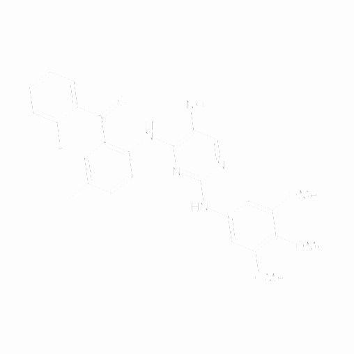 COc1cc(Nc2ncc(N=O)c(Nc3ccc(C)cc3C(=O)c3ccccc3F)n2)cc(OC)c1OC